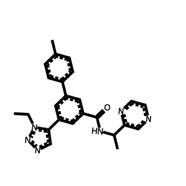 CCn1nncc1-c1cc(C(=O)NC(C)c2cnccn2)cc(-c2ccc(C)cc2)c1